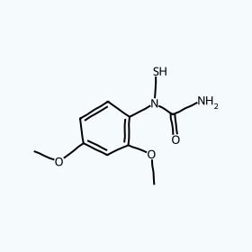 COc1ccc(N(S)C(N)=O)c(OC)c1